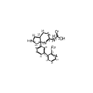 O=C(O)NC1=NC2(c3cccc(-c4cccnc4F)c3)CNCC2CS1